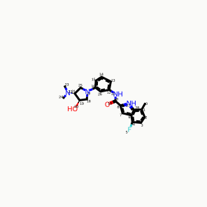 Cc1ccc(F)c2cc(C(=O)Nc3cccc(N4C[C@@H](O)[C@H](N(C)C)C4)c3)[nH]c12